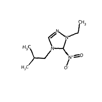 CCN1N=CN(CC(C)C)C1[N+](=O)[O-]